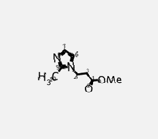 COC(=O)CCn1ccnc1C